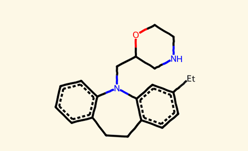 CCc1ccc2c(c1)N(CC1CNCCO1)c1ccccc1CC2